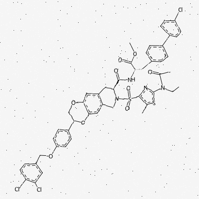 CCN(C(C)=O)c1nc(S(=O)(=O)N2Cc3cc4c(cc3C[C@H]2C(=O)N[C@@H](Cc2ccc(-c3ccc(Cl)cc3)cc2)C(=O)OC)OCC(c2ccc(OCc3ccc(Cl)c(Cl)c3)cc2)O4)c(C)s1